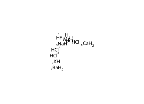 Cl.Cl.Cl.Cl.F.[BaH2].[CaH2].[KH].[MgH2].[NaH]